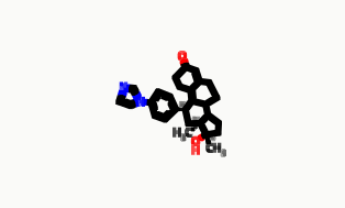 C[C@]1(O)CCC2C3CCC4=CC(=O)CCC4=C3[C@@H](c3ccc(-n4ccnc4)cc3)C[C@@]21C